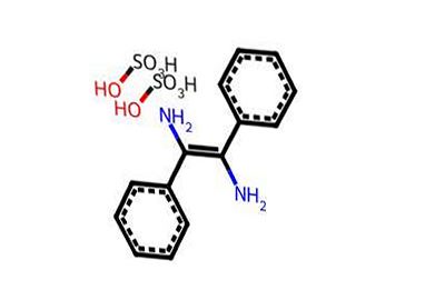 NC(=C(N)c1ccccc1)c1ccccc1.O=S(=O)(O)O.O=S(=O)(O)O